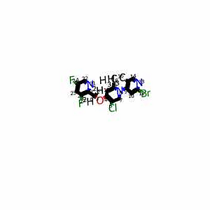 [2H]C([2H])(OC1=C(Cl)CN(c2cc(Br)ncc2C)C(C)=C1)c1ncc(F)cc1F